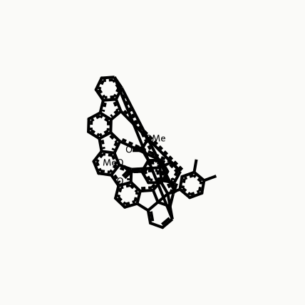 COC(=O)c1ccc(C2(c3ccc(C)c(C)c3)C34C5=CC=C6c7ccc8c9ccc%10c%11ccc%12c%13ccc5c5c3c3c%14c(c7c8c7c9c%10c8c%11c%12c(c5%13)c3c8c%147)C642)cc1C(=O)OC